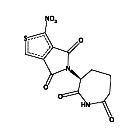 O=C1CCC[C@H](N2C(=O)c3csc([N+](=O)[O-])c3C2=O)C(=O)N1